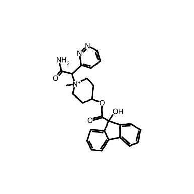 C[N+]1(C(C(N)=O)c2cccnn2)CCC(OC(=O)C2(O)c3ccccc3-c3ccccc32)CC1